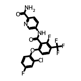 NC(=O)c1ccc(NC(=O)c2c(Oc3ccc(F)cc3Cl)ccc(C(F)(F)F)c2F)cn1